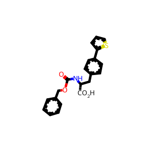 O=C(NC(Cc1ccc(-c2cccs2)cc1)C(=O)O)OCc1ccccc1